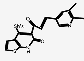 CSc1c(C(=O)/C=C/c2cnc(C)c(C)c2)c(=O)[nH]c2sccc12